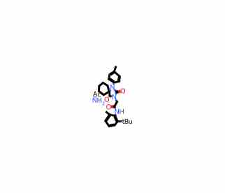 CC(N)=O.Cc1ccc(N2C(=O)N(CC(=O)Nc3c(C)cccc3C(C)(C)C)C(=O)C23CCCCC3)cc1